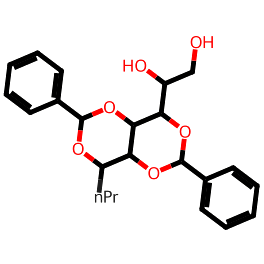 CCCC1OC(c2ccccc2)OC2C(C(O)CO)OC(c3ccccc3)OC12